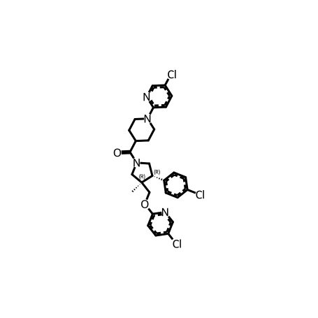 C[C@]1(COc2ccc(Cl)cn2)CN(C(=O)C2CCN(c3ccc(Cl)cn3)CC2)C[C@@H]1c1ccc(Cl)cc1